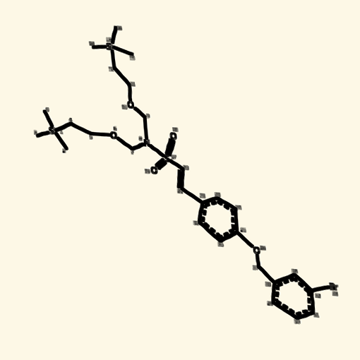 C[Si](C)(C)CCOCN(COCC[Si](C)(C)C)S(=O)(=O)C=Cc1ccc(OCc2cccc(Br)c2)cc1